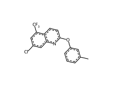 Cc1cccc(Oc2ccc3c(C(F)(F)F)cc(Cl)cc3n2)c1